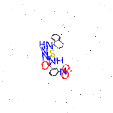 O=C(Nc1nnc(NC2CCCc3ccccc32)s1)c1cccc([N+](=O)[O-])c1